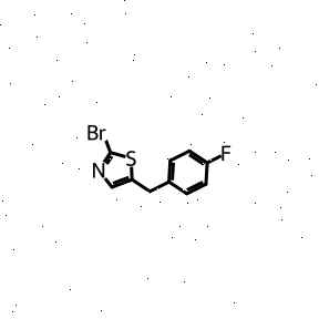 Fc1ccc(Cc2cnc(Br)s2)cc1